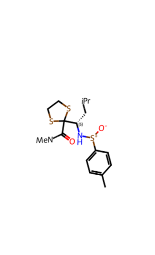 CNC(=O)C1([C@H](CC(C)C)N[S+]([O-])c2ccc(C)cc2)SCCS1